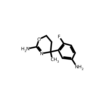 CC1(c2cc(N)ccc2F)CCOC(N)=N1